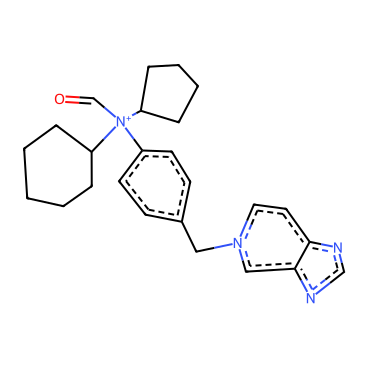 O=C[N+](c1ccc(Cn2ccc3ncnc-3c2)cc1)(C1CCCCC1)C1CCCC1